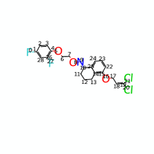 Fc1ccc(OCCON=C2CCCc3c(OCC=C(Cl)Cl)cccc32)c(F)c1